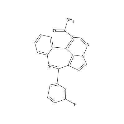 NC(=O)c1cnn2ccc3c2c1-c1ccccc1N=C3c1cccc(F)c1